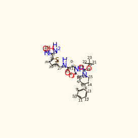 C[C@H](NC(=O)[C@H]1C[C@@H](c2ccccc2)CCN1C(=O)OC(C)(C)C)C(=O)NCc1ccc(/C(N)=N/O)s1